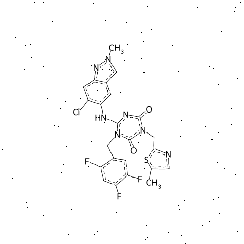 Cc1cnc(Cn2c(=O)nc(Nc3cc4cn(C)nc4cc3Cl)n(Cc3cc(F)c(F)cc3F)c2=O)s1